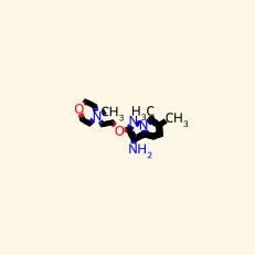 Cc1ccc2c(N)c(OCC[N+]3(C)CCOCC3)nn2c1C